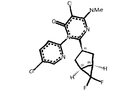 CNc1nc([C@H]2C[C@@H]3[C@H](C2)C3(F)F)n(-c2ccc(Cl)cn2)c(=O)c1Cl